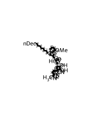 CCCCCCCCCCCCCCCCCCOC[C@H](COP(=O)(O)OC[C@H]1O[C@@](C#N)(c2ccc3c(C)ncnn23)[C@H](O)[C@@H]1O)Oc1ncccc1OC